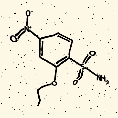 CCOc1cc([N+](=O)[O-])ccc1S(N)(=O)=O